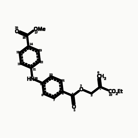 C=C(COC(=O)c1ccc(Nc2ccc(C(=O)OC)cc2)cc1)C(=O)OCC